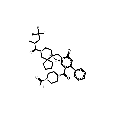 CC(CC(F)(F)F)C(=O)N1CC[C@@](O)(Cn2cc(C(=O)N3CCN(C(=O)O)CC3)c(-c3ccccc3)cc2=O)C2(CCCC2)C1